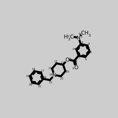 CN(C)c1cccc(C(=O)OC2CCN(Cc3ccccc3)CC2)c1